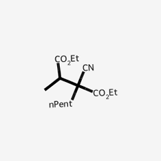 CCCCCC(C#N)(C(=O)OCC)C(C)C(=O)OCC